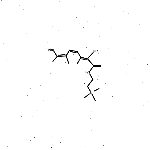 C=C(NCC[N+](C)(C)C)/C(N)=C(C)/C=C\C(C)=C(\C)CCCC